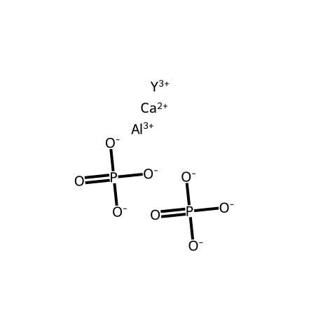 O=P([O-])([O-])[O-].O=P([O-])([O-])[O-].[Al+3].[Ca+2].[Y+3]